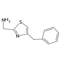 NCc1nc(Cc2ccccc2)cs1